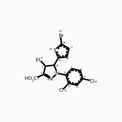 CCC1C(C(=O)O)=NN(c2ccc(Cl)cc2Cl)C1c1ccc(Br)s1